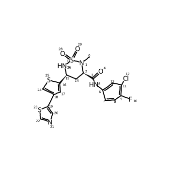 CN1[C@@H](C(=O)Nc2ccc(F)c(Cl)c2)C[C@@H](c2cc(-c3cncs3)cs2)NS1(=O)=O